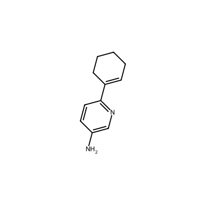 Nc1ccc(C2=CCCCC2)nc1